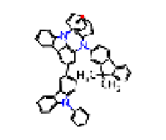 CC1(C)c2ccccc2-c2ccc(N(c3ccccc3)c3cc(-c4ccc5c(c4)c4ccccc4n5-c4ccccc4)cc4c5ccccc5n(-c5ccccc5)c34)cc21